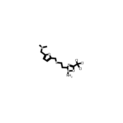 CN(C)Cc1ccc(CSCCC2N=C(C(Cl)(Cl)Cl)ON2N)o1